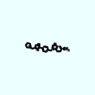 Cc1ccc2c(c1)ncn2Cc1ccc(-c2nc(CN3CCCC3)co2)cc1